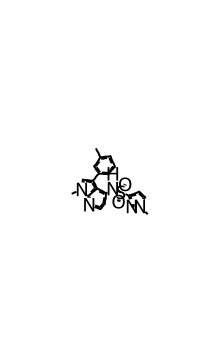 Cc1cccc(-c2cn(C)c3nccc(NS(=O)(=O)c4ccn(C)n4)c23)c1